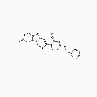 CN1CCc2oc3cc(-n4ccc(OCc5ccccc5)cc4=O)ccc3c2C1.Cl